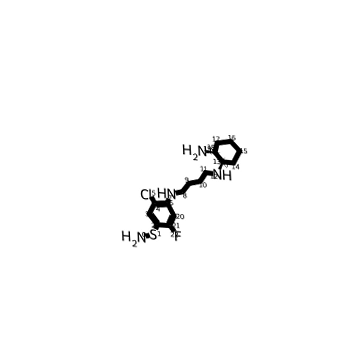 NSc1cc(Cl)c(NCCCCN[C@@H]2CCCC[C@@H]2N)cc1F